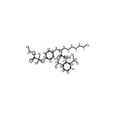 CCCCCCCN(Cc1ccc(OC(C)(C)C(=O)OCC)cc1)C(=O)Nc1c(C(C)C)cccc1C(C)C